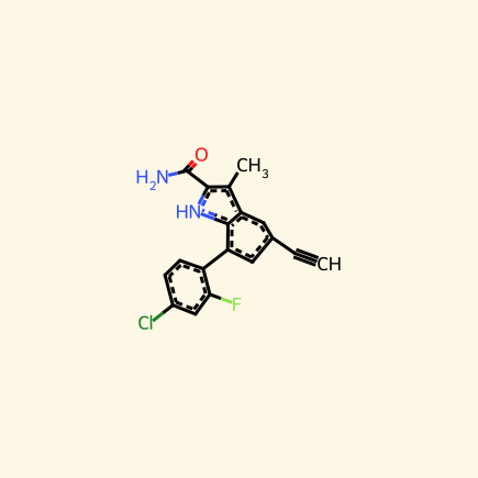 C#Cc1cc(-c2ccc(Cl)cc2F)c2[nH]c(C(N)=O)c(C)c2c1